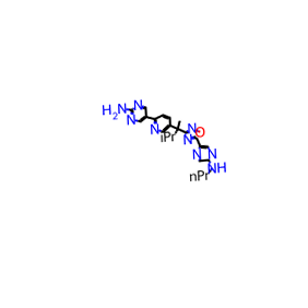 CCCNc1cnc(-c2nc(C(C)(c3ccc(-c4cnc(N)nc4)nc3)C(C)C)no2)cn1